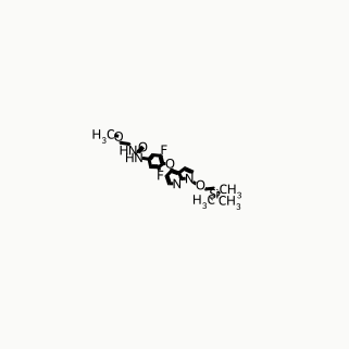 COCCNC(=O)Nc1cc(F)c(Oc2ccnc3c2ccn3COCC[Si](C)(C)C)c(F)c1